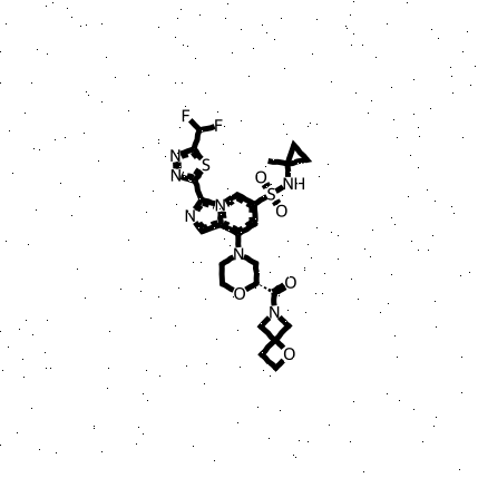 CC1(NS(=O)(=O)c2cc(N3CCO[C@@H](C(=O)N4CC5(CCO5)C4)C3)c3cnc(-c4nnc(C(F)F)s4)n3c2)CC1